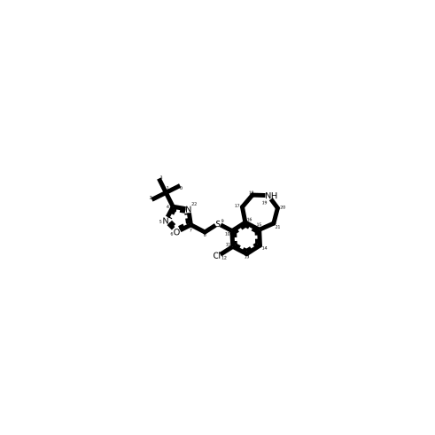 CC(C)(C)c1noc(CSc2c(Cl)ccc3c2CCNCC3)n1